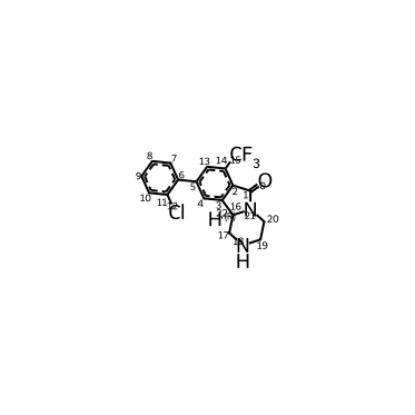 O=C1c2c(cc(-c3ccccc3Cl)cc2C(F)(F)F)[C@@H]2CNCCN12